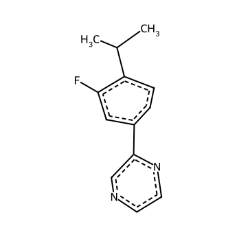 CC(C)c1ccc(-c2cnccn2)cc1F